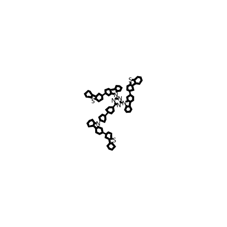 c1ccc2c(c1)sc1ccc(-c3ccc4c5ccccc5n(-c5ccc(-c6ccc(-c7nc(-n8c9ccccc9c9ccc(-c%10ccc%11sc%12ccccc%12c%11c%10)cc98)nc(-n8c9ccccc9c9ccc(-c%10ccc%11sc%12ccccc%12c%11c%10)cc98)n7)cc6)cc5)c4c3)cc12